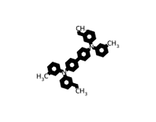 CCc1cccc(N(c2ccc(-c3ccc(N(c4cccc(C)c4)c4cccc(CC)c4)cc3)cc2)c2cccc(C)c2)c1